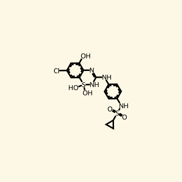 O=S(=O)(Nc1ccc(NC2=Nc3c(O)cc(Cl)cc3S(O)(O)N2)cc1)C1CC1